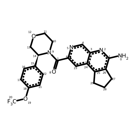 Nc1nc2cnc(C(=O)N3CCOC[C@@H]3c3ccc(OC(F)(F)F)cc3)cc2c2c1CCC2